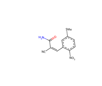 CSc1ccc([N+](=O)[O-])c(/C=C(/C#N)C(N)=O)c1